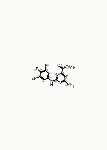 COC(=O)c1nc(N)nc(Nc2cc(F)c(F)c(F)c2)n1